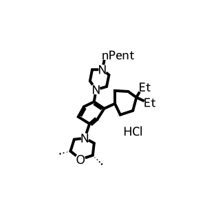 CCCCCN1CCN(c2ccc(N3C[C@@H](C)O[C@@H](C)C3)cc2C2CCC(CC)(CC)CC2)CC1.Cl